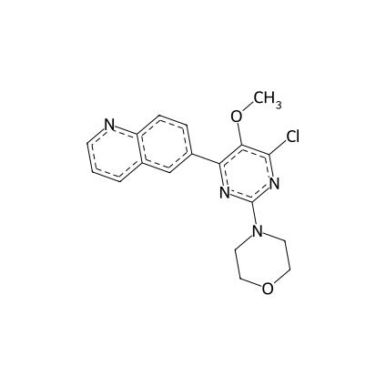 COc1c(Cl)nc(N2CCOCC2)nc1-c1ccc2ncccc2c1